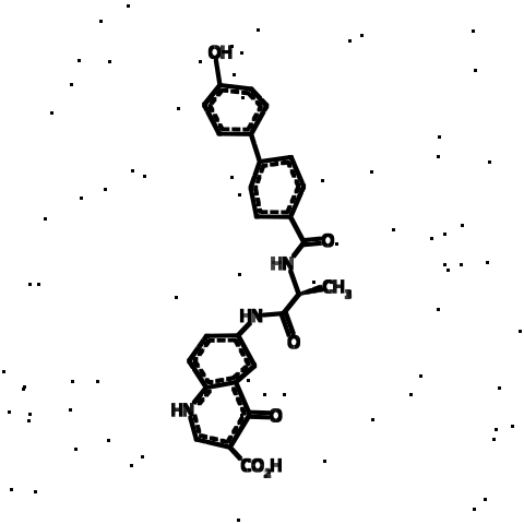 C[C@H](NC(=O)c1ccc(-c2ccc(O)cc2)cc1)C(=O)Nc1ccc2[nH]cc(C(=O)O)c(=O)c2c1